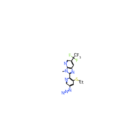 CCSc1cc(N=[N+]=[N-])cnc1-c1nc2cc(C(F)(F)C(F)(F)F)cnc2n1C